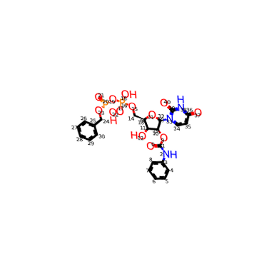 O=C(Nc1ccccc1)O[C@H]1C(O)[C@@H](COP(=O)(O)OP(=O)(O)OCc2ccccc2)O[C@H]1n1ccc(=O)[nH]c1=O